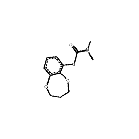 CN(C)C(=O)Oc1cccc2c1OCCCO2